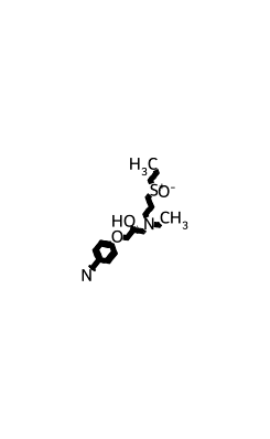 CCC[S+]([O-])CCCN(CC)C[C@@H](O)COc1ccc(C#N)cc1